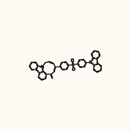 C=C1/C=C(c2ccc(S(=O)(=O)c3ccc(-n4c5ccccc5c5ccccc54)cc3)cc2)\C=C/Cn2c3ccccc3c3cccc1c32